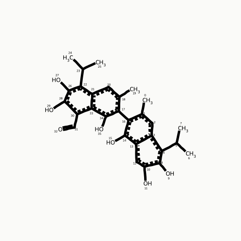 Cc1cc2c(C(C)C)c(O)c(O)cc2c(O)c1-c1c(C)cc2c(C(C)C)c(O)c(O)c(C=O)c2c1O